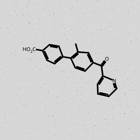 Cc1cc(C(=O)c2ccccn2)ccc1-c1ccc(C(=O)O)cc1